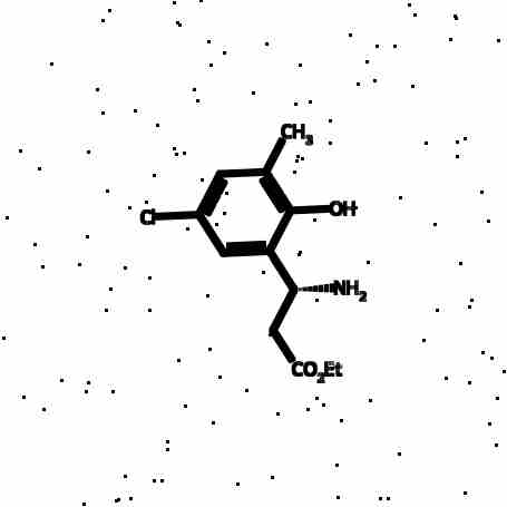 CCOC(=O)C[C@@H](N)c1cc(Cl)cc(C)c1O